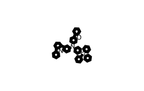 c1ccc([Si](c2ccccc2)(c2ccccc2)c2ccc(N(c3ccc4c(c3)oc3ccccc34)c3ccc4c(c3)c3cccc5c6ccccc6n4c53)cc2)cc1